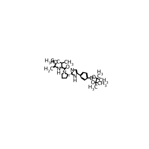 C=C(N[C@H](C(=O)N1CCC[C@H]1c1ncc(-c2ccc(B3OC(C)(C)C(C)(C)O3)cc2)[nH]1)C(C)C)OC